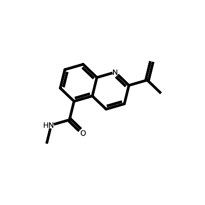 C=C(C)c1ccc2c(C(=O)NC)cccc2n1